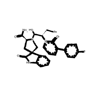 CC(C)C[C@@H](C(O)N1C[C@]2(C[C@H]1C(N)=O)C(=O)Nc1ccccc12)n1cccc(-c2ccc(F)cc2)c1=O